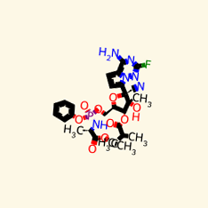 CCOC(=O)[C@H](C)NP(=O)(OC[C@H]1O[C@@](C#N)(c2ccc3c(N)nc(F)nn23)[C@](C)(O)[C@@H]1OC(=O)C(C)C)Oc1ccccc1